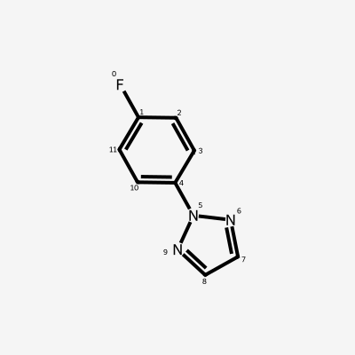 Fc1c[c]c(-n2nccn2)cc1